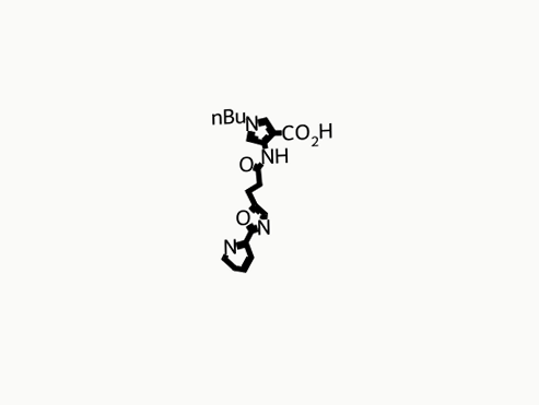 CCCCn1cc(NC(=O)CCc2cnc(C3=NCCC=C3)o2)c(C(=O)O)c1